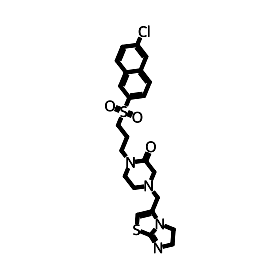 O=C1CN(CC2=CSC3=NCCN23)CCN1CCCS(=O)(=O)c1ccc2cc(Cl)ccc2c1